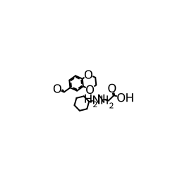 NC1CCCCC1.NCC(=O)O.O=Cc1ccc2c(c1)OCCO2